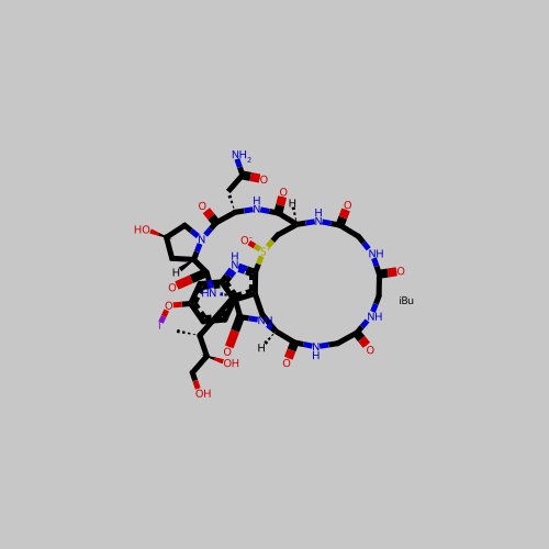 CC[C@H](C)C1NC(=O)CNC(=O)[C@@H]2Cc3c([nH]c4cc(OI)ccc34)[S+]([O-])C[C@H](NC(=O)CNC1=O)C(=O)N[C@@H](CC(N)=O)C(=O)N1C[C@H](O)C[C@H]1C(=O)N[C@@H]([C@@H](C)[C@@H](O)CO)C(=O)N2